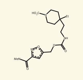 CCC1(CCNC(=O)OCc2cc(C(=O)NC)no2)CCN(C(=O)O)CC1